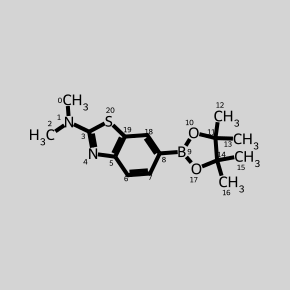 CN(C)c1nc2ccc(B3OC(C)(C)C(C)(C)O3)cc2s1